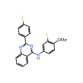 COc1ccc(Nc2nc(-c3ccc(F)cc3)nc3ccccc23)cc1F